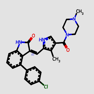 Cc1c(C(=O)N2CCN(C)CC2)c[nH]c1/C=C1\C(=O)Nc2cccc(-c3ccc(Cl)cc3)c21